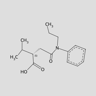 CCCN(C(=O)C[C@H](C(=O)O)C(C)C)c1ccccc1